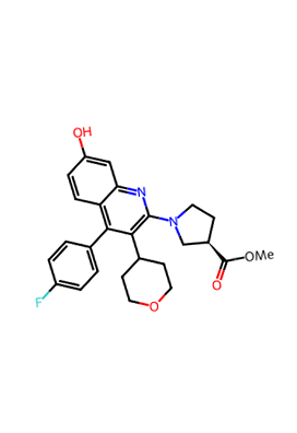 COC(=O)[C@@H]1CCN(c2nc3cc(O)ccc3c(-c3ccc(F)cc3)c2C2CCOCC2)C1